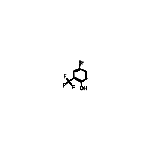 OC1=C(C(F)(F)F)C=C(Br)C[CH]1